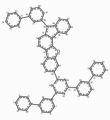 c1ccc(-c2cccc(-c3nc(-c4cccc(-c5ccccc5)c4)nc(-c4ccc5c(c4)oc4c5ccc5c4c4ccccc4n5-c4cccc(-c5ccccc5)c4)n3)c2)cc1